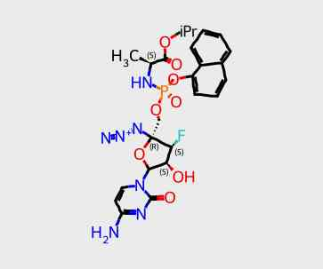 CC(C)OC(=O)[C@H](C)NP(=O)(OC[C@@]1(N=[N+]=[N-])OC(n2ccc(N)nc2=O)[C@H](O)[C@@H]1F)Oc1cccc2ccccc12